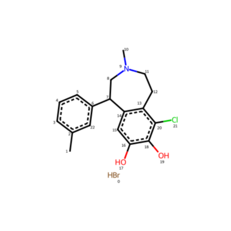 Br.Cc1cccc(C2CN(C)CCc3c2cc(O)c(O)c3Cl)c1